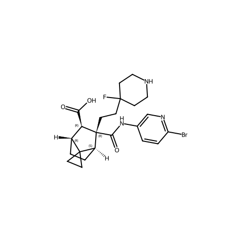 O=C(O)[C@@H]1[C@H]2CC[C@@H](C23CC3)[C@@]1(CCC1(F)CCNCC1)C(=O)Nc1ccc(Br)nc1